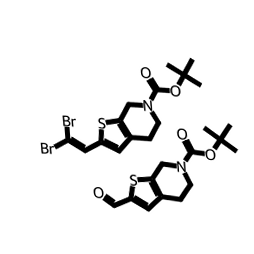 CC(C)(C)OC(=O)N1CCc2cc(C=C(Br)Br)sc2C1.CC(C)(C)OC(=O)N1CCc2cc(C=O)sc2C1